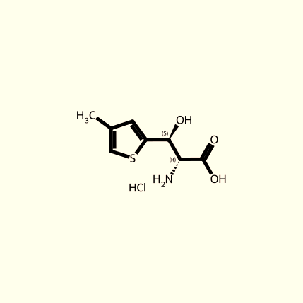 Cc1csc([C@@H](O)[C@@H](N)C(=O)O)c1.Cl